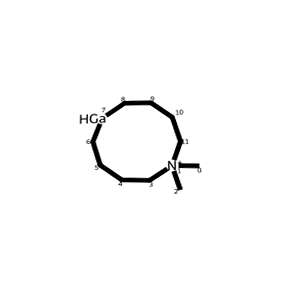 C[N+]1(C)CCC[CH2][GaH][CH2]CCC1